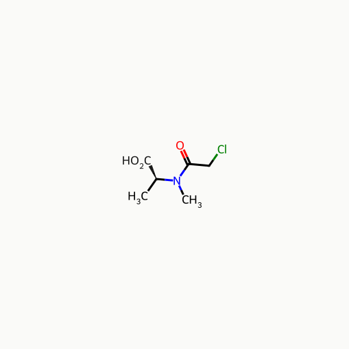 C[C@@H](C(=O)O)N(C)C(=O)CCl